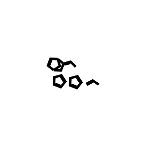 C1=CCC=C1.C1=CCC=C1.C=CC.CC=C1CC2C=CC1C2